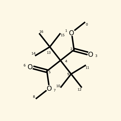 COC(=O)C(C(=O)OC)(C(C)(C)C)C(C)(C)C